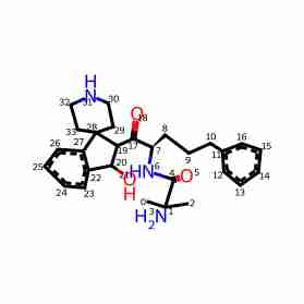 CC(C)(N)C(=O)N[C@H](CCCc1ccccc1)C(=O)C1C(O)c2ccccc2C12CCNCC2